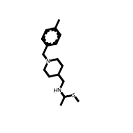 CSC(C)NCC1CCN(Cc2ccc(C)cc2)CC1